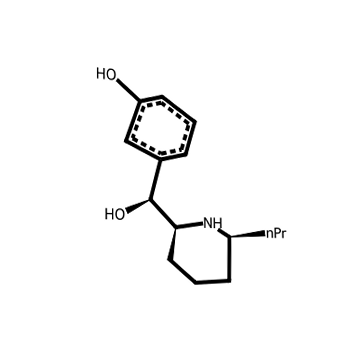 CCC[C@H]1CCC[C@@H]([C@@H](O)c2cccc(O)c2)N1